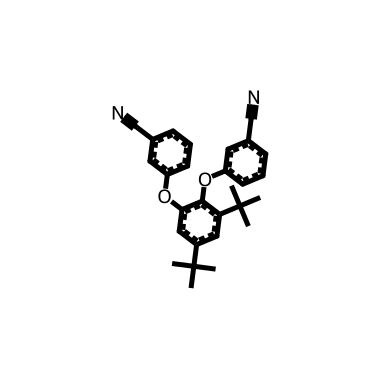 CC(C)(C)c1cc(Oc2cccc(C#N)c2)c(Oc2cccc(C#N)c2)c(C(C)(C)C)c1